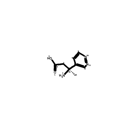 C[C@](N)(CC(=O)O)c1ccnnc1